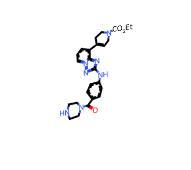 CCOC(=O)N1CC=C(c2cccn3nc(Nc4ccc(C(=O)N5CCNCC5)cc4)nc23)CC1